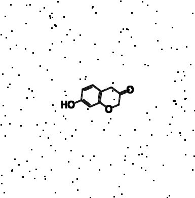 O=C1COc2cc(O)ccc2C1